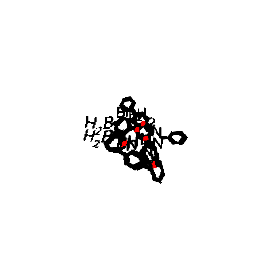 Bc1c(B)c(B)c(-c2cccc(-c3ccccc3)c2-n2c3ccccc3c3ccc4c5ccccc5n(-c5nc(-c6ccccc6)nc(-c6ccc(-c7ccccc7)cc6)n5)c4c32)c(B)c1B